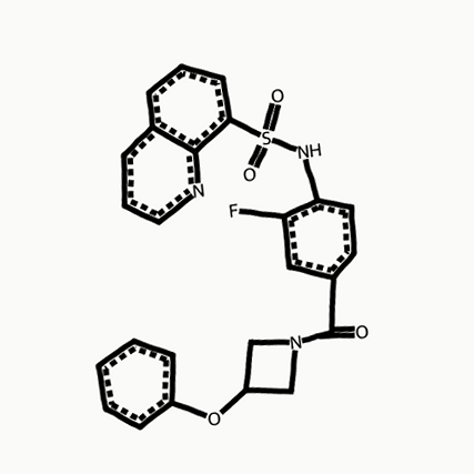 O=C(c1ccc(NS(=O)(=O)c2cccc3cccnc23)c(F)c1)N1CC(Oc2ccccc2)C1